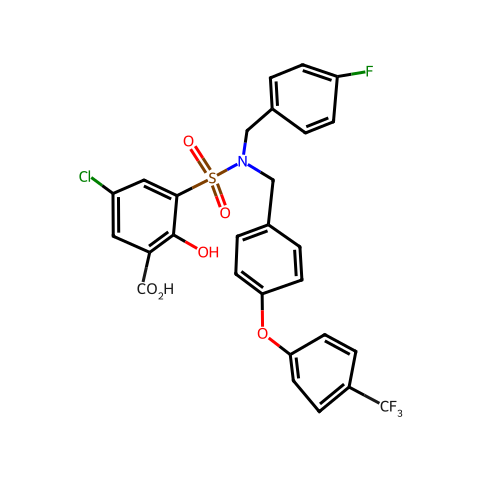 O=C(O)c1cc(Cl)cc(S(=O)(=O)N(Cc2ccc(F)cc2)Cc2ccc(Oc3ccc(C(F)(F)F)cc3)cc2)c1O